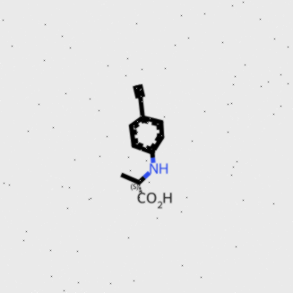 C#Cc1ccc(N[C@@H](C)C(=O)O)cc1